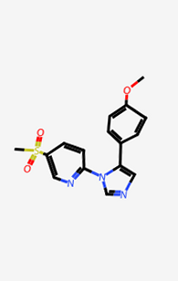 COc1ccc(-c2cncn2-c2ccc(S(C)(=O)=O)cn2)cc1